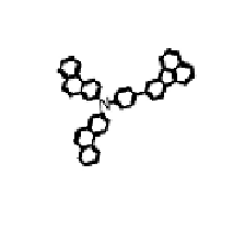 c1cc2c3c(cccc3c1)-c1cc(-c3ccc(N(c4ccc5c(ccc6ccccc65)c4)c4ccc5c(ccc6ccccc65)c4)cc3)ccc1-2